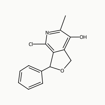 Cc1nc(Cl)c2c(c1O)COC2c1ccccc1